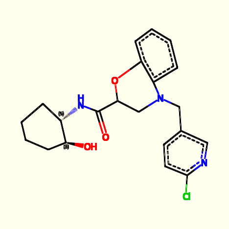 O=C(N[C@H]1CCCC[C@@H]1O)C1CN(Cc2ccc(Cl)nc2)c2ccccc2O1